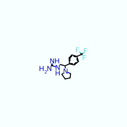 N=C(N)NCC(c1ccc(C(F)(F)F)cc1)N1CCCC1